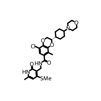 CSc1cc(C)[nH]c(=O)c1CNC(=O)c1cc(Cl)c2c(c1C)O[C@@H](C1CCC(N3CCOCC3)CC1)CO2